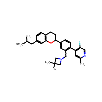 Cc1cc(-c2ccc(C3CCc4ccc(CC(C)C(=O)O)cc4O3)cc2CN2CC(C)(C#N)C2)c(F)cn1